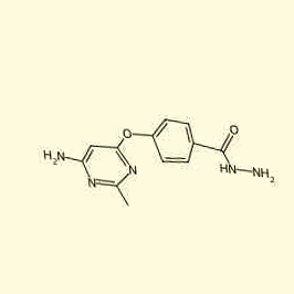 Cc1nc(N)cc(Oc2ccc(C(=O)NN)cc2)n1